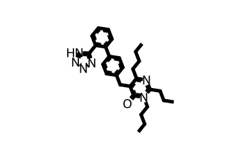 CCCCc1nc(CCC)n(CCCC)c(=O)c1Cc1ccc(-c2ccccc2-c2nnn[nH]2)cc1